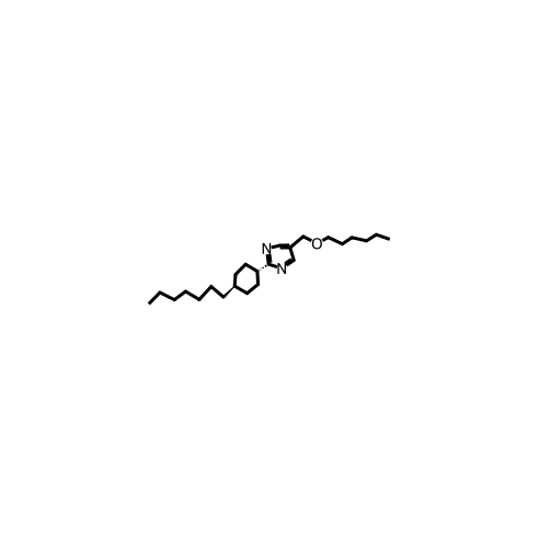 CCCCCCC[C@H]1CC[C@H](c2ncc(COCCCCCC)cn2)CC1